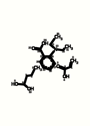 C=CC(=O)O.CCCC(O)O.CCN(CC)c1ccccc1C(=O)O